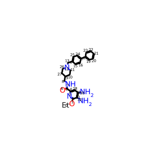 CCOc1nc(C(=O)NCC2CCN(Cc3ccc(-c4ccccc4)cc3)CC2)cc(N)c1N